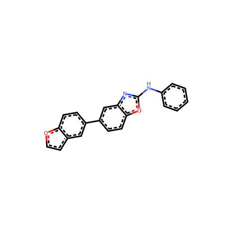 c1ccc(Nc2nc3cc(-c4ccc5occc5c4)ccc3o2)cc1